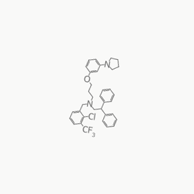 FC(F)(F)c1cccc(CN(CCCOc2cccc(N3CCCC3)c2)CC(c2ccccc2)c2ccccc2)c1Cl